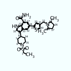 CCS(=O)(=O)N1CCC(c2c[nH]c3c(C(N)=O)cc(-c4cc(CN5[C@H](C)CC[C@H]5C)cs4)cc23)CC1